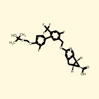 CC(C)(O)CCOc1ccc(-c2cc(COc3cc4c(cn3)[C@H]3[C@H]5C4[C@@]53C(=O)O)c(F)cc2C(F)(F)F)cc1F